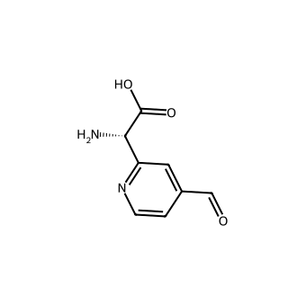 N[C@H](C(=O)O)c1cc(C=O)ccn1